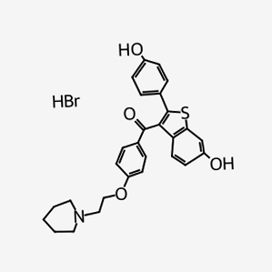 Br.O=C(c1ccc(OCCN2CCCCC2)cc1)c1c(-c2ccc(O)cc2)sc2cc(O)ccc12